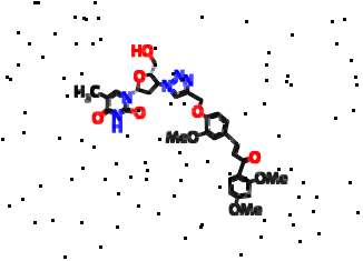 COc1ccc(C(=O)/C=C/c2ccc(OCc3cn([C@H]4C[C@H](n5cc(C)c(=O)[nH]c5=O)O[C@@H]4CO)nn3)c(OC)c2)c(OC)c1